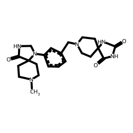 CN1CCC2(CC1)C(=O)NCN2c1cccc(CN2CCC3(CC2)NC(=O)NC3=O)c1